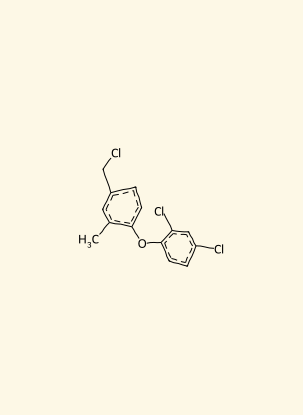 Cc1cc(CCl)ccc1Oc1ccc(Cl)cc1Cl